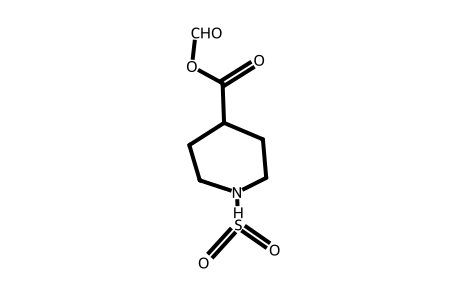 O=COC(=O)C1CCN([SH](=O)=O)CC1